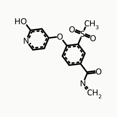 C=NC(=O)c1ccc(Oc2ccnc(O)c2)c(S(C)(=O)=O)c1